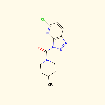 O=C(N1CCC(C(F)(F)F)CC1)n1nnc2ccc(Cl)nc21